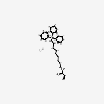 C=CC(=O)OCCCCCCCCC[P+](c1ccccc1)(c1ccccc1)c1ccccc1.[Br-]